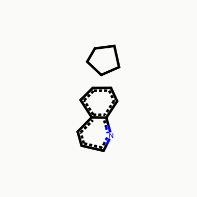 C1CCCC1.c1ccc2ncccc2c1